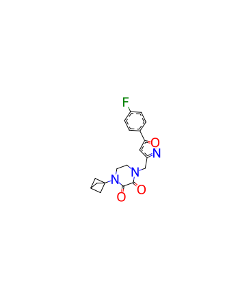 O=C1C(=O)N(C23CC(C2)C3)CCN1Cc1cc(-c2ccc(F)cc2)on1